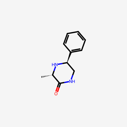 C[C@@H]1N[C@@H](c2ccccc2)CNC1=O